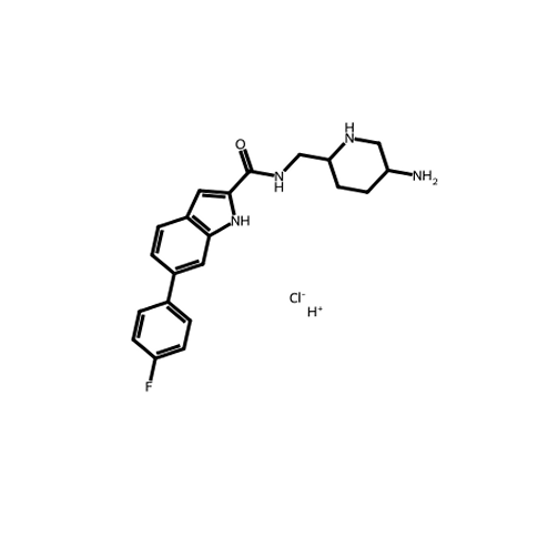 NC1CCC(CNC(=O)c2cc3ccc(-c4ccc(F)cc4)cc3[nH]2)NC1.[Cl-].[H+]